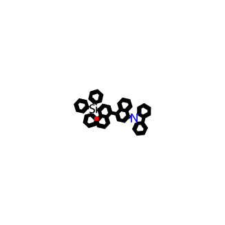 c1ccc([Si](c2ccccc2)(c2ccccc2)c2ccc(-c3ccc(-n4c5ccccc5c5ccccc54)c4ccccc34)c3ccccc23)cc1